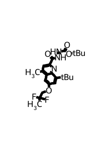 Cc1cc(C(=O)NNC(=O)OC(C)(C)C)nc2c(C(C)(C)C)cc(OCC(C)(F)F)cc12